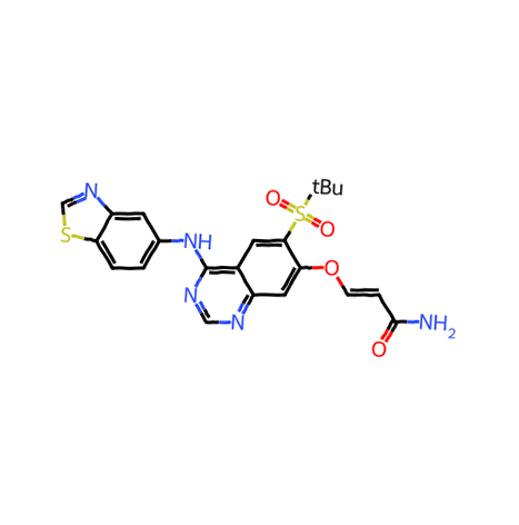 CC(C)(C)S(=O)(=O)c1cc2c(Nc3ccc4scnc4c3)ncnc2cc1OC=CC(N)=O